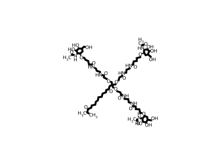 CC(=O)NC1C(O)[C@H](O)C(CO)C[C@H]1OCCCCC(=O)NCCCNC(=O)CCOCC(COCCC(=O)NCCCNC(=O)CCCCO[C@@H]1CC(CO)[C@@H](O)C(O)C1NC(C)=O)(COCCC(=O)NCCCNC(=O)CCCCO[C@@H]1CC(CO)[C@@H](O)C(O)C1NC(C)=O)CC(=O)CCCCCCCCCCC(=O)C(C)C